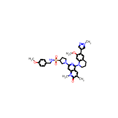 COc1ccc(CNS(=O)(=O)C2CCN(c3cc4c(cc(C)c(=O)n4C)c(N4CCCc5cc(-c6cnn(C)c6)c(OC)cc54)n3)C2)cc1